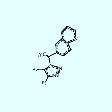 CCc1nnn(C(C)c2ccc3ncccc3c2)c1C(C)=O